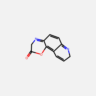 O=C1CN=c2ccc3c(c2O1)C=CCN=3